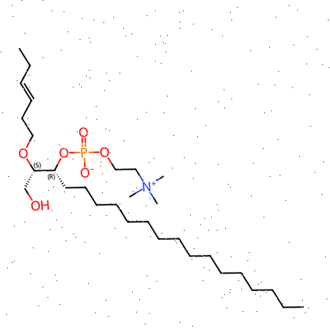 CCC=CCCO[C@@H](CO)[C@@H](CCCCCCCCCCCCCCCC)OP(=O)([O-])OCC[N+](C)(C)C